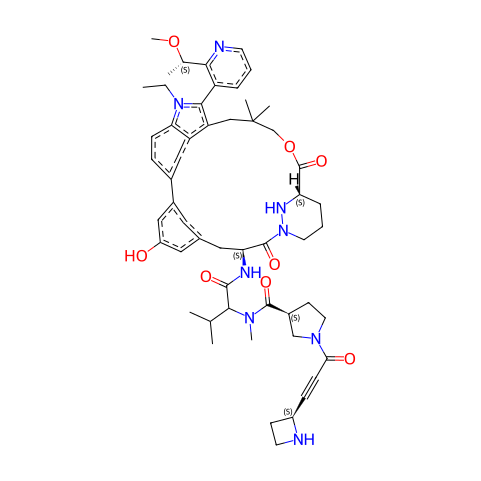 CCn1c(-c2cccnc2[C@H](C)OC)c2c3cc(ccc31)-c1cc(O)cc(c1)C[C@H](NC(=O)C(C(C)C)N(C)C(=O)[C@H]1CCN(C(=O)C#C[C@@H]3CCN3)C1)C(=O)N1CCC[C@H](N1)C(=O)OCC(C)(C)C2